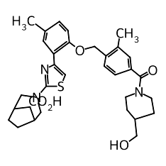 Cc1ccc(OCc2ccc(C(=O)N3CCC(CO)CC3)cc2C)c(-c2csc(N3CC4CCC(C3)C4C(=O)O)n2)c1